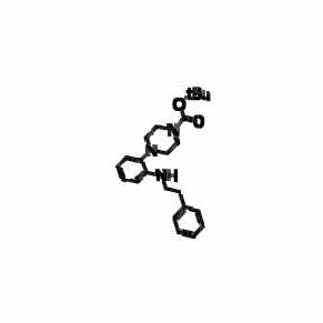 CC(C)(C)OC(=O)N1CCN(c2ccccc2NCCc2ccccc2)CC1